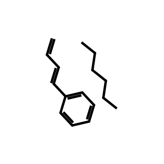 C=CC=Cc1ccccc1.CCCCCC